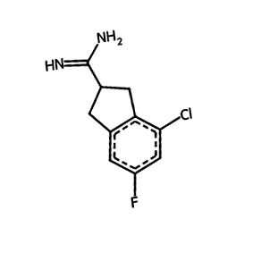 N=C(N)C1Cc2cc(F)cc(Cl)c2C1